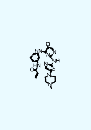 C=CC(=O)Nc1cccc(Nc2nc(Nc3ncc(N4CCN(C)CC4)s3)ncc2Cl)c1